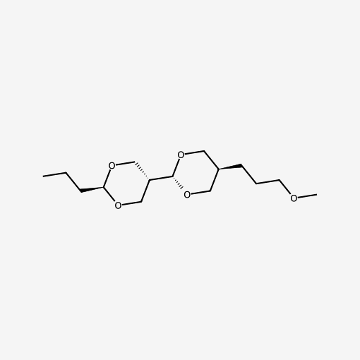 CCC[C@H]1OC[C@H]([C@H]2OC[C@H](CCCOC)CO2)CO1